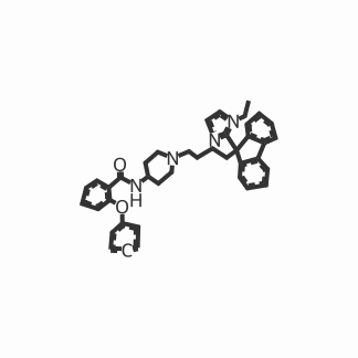 CCn1ccnc1C1(CCCCN2CCC(NC(=O)c3ccccc3Oc3ccccc3)CC2)c2ccccc2-c2ccccc21